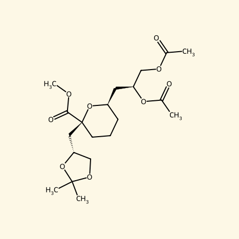 COC(=O)[C@@]1(C[C@@H]2COC(C)(C)O2)CCC[C@H](C[C@@H](COC(C)=O)OC(C)=O)O1